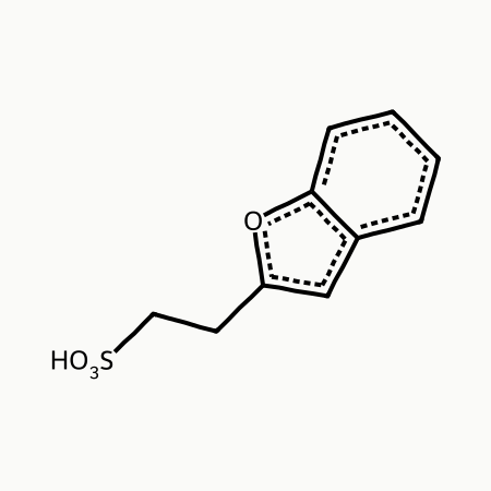 O=S(=O)(O)CCc1cc2ccccc2o1